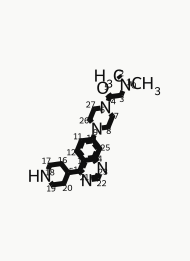 CN(C)CC(=O)N1CCN(c2ccc3c(C4CCNCC4)ncnc3c2)CC1